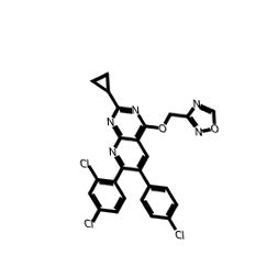 Clc1ccc(-c2cc3c(OCc4ncon4)nc(C4CC4)nc3nc2-c2ccc(Cl)cc2Cl)cc1